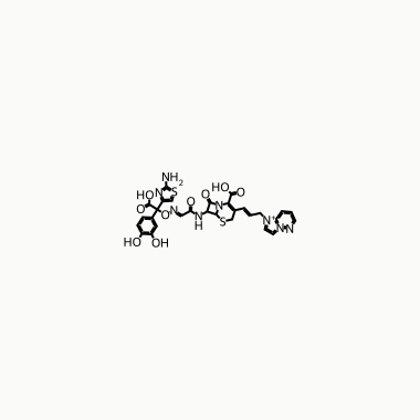 Nc1nc(C(ON=CC(=O)NC2C(=O)N3C(C(=O)O)=C(C=CC[n+]4ccn5ncccc54)CSC23)(C(=O)O)c2ccc(O)c(O)c2)cs1